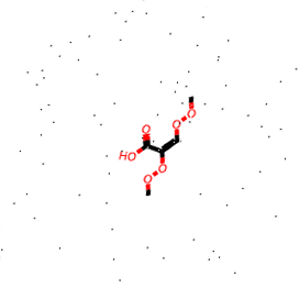 COO/[C]=C(/OOC)C(=O)O